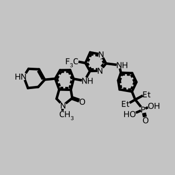 CCC(CC)(c1ccc(Nc2ncc(C(F)(F)F)c(Nc3ccc(C4=CCNCC4)c4c3C(=O)N(C)C4)n2)cc1)P(=O)(O)O